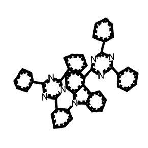 c1ccc(-c2nc(-c3ccccc3)nc(-c3ccccc3-n3c4ccccc4c4c(-c5nc(-c6ccccc6)nc(-c6ccccc6)n5)cccc43)n2)cc1